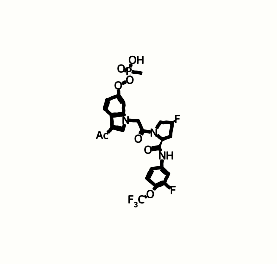 CC(=O)c1cn(CC(=O)N2C[C@H](F)C[C@H]2C(=O)Nc2ccc(OC(F)(F)F)c(F)c2)c2cc(OOP(C)(=O)O)ccc12